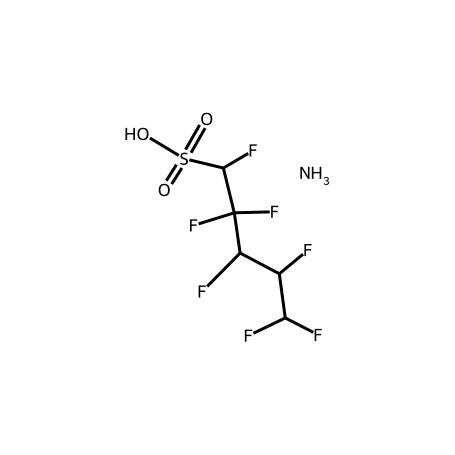 N.O=S(=O)(O)C(F)C(F)(F)C(F)C(F)C(F)F